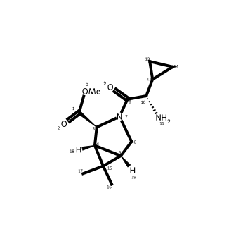 COC(=O)[C@@H]1[C@@H]2[C@H](CN1C(=O)[C@@H](N)C1CC1)C2(C)C